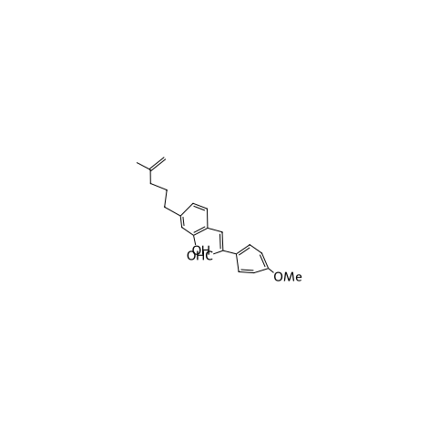 C=C(C)CCCc1ccc(/C=C(\C=O)c2ccc(OC)cc2)c(O)c1